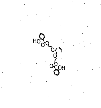 C=CC.CC(COCCOC(=O)c1ccccc1O)OCCOC(=O)c1ccccc1O